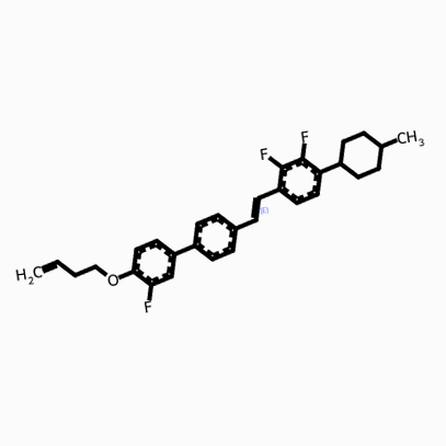 C=CCCOc1ccc(-c2ccc(/C=C/c3ccc(C4CCC(C)CC4)c(F)c3F)cc2)cc1F